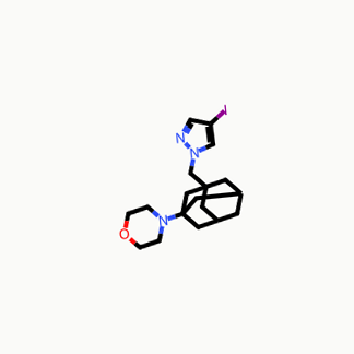 Ic1cnn(CC23CC4CC(C2)CC(N2CCOCC2)(C4)C3)c1